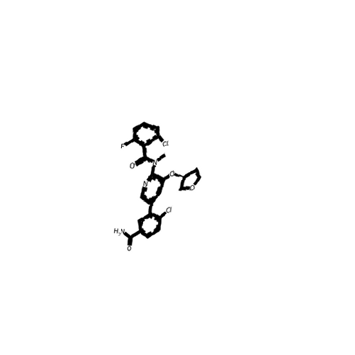 CN(C(=O)c1c(F)cccc1Cl)c1ncc(-c2cc(C(N)=O)ccc2Cl)cc1O[C@H]1CCOC1